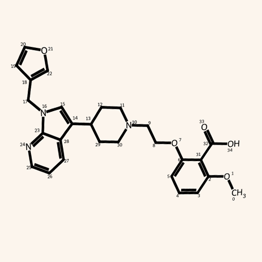 COc1cccc(OCCN2CCC(c3cn(Cc4ccoc4)c4ncccc34)CC2)c1C(=O)O